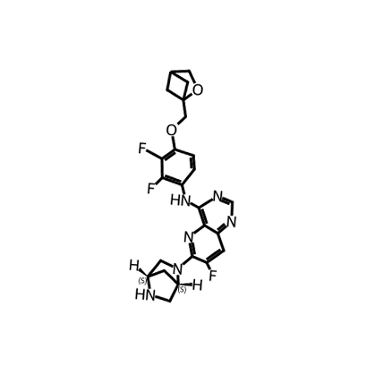 Fc1cc2ncnc(Nc3ccc(OCC45CC(CO4)C5)c(F)c3F)c2nc1N1C[C@@H]2C[C@H]1CN2